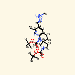 CNN=Cc1cc2c(nc1C)N(C(=O)OC(C)(C)C)C1(CC2)CCN(C(=O)OC(C)(C)C)C1